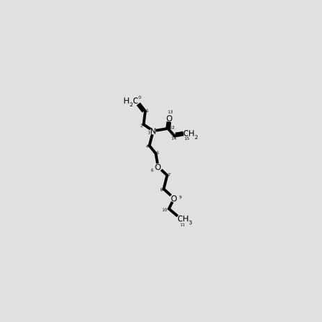 C=CCN(CCOCCOCC)C(=O)C=C